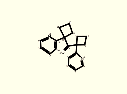 O=C(C1(c2ccccn2)CCC1)C1(c2ccccn2)CCC1